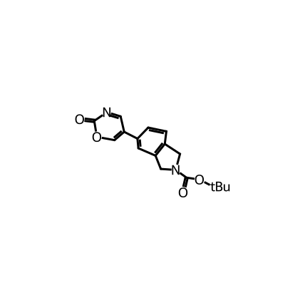 CC(C)(C)OC(=O)N1Cc2ccc(-c3cnc(=O)oc3)cc2C1